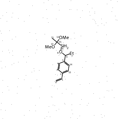 C=Cc1ccc(C(CC)O[SiH2]C(C)(OC)OC)cc1